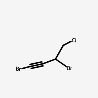 ClCC(Br)C#CBr